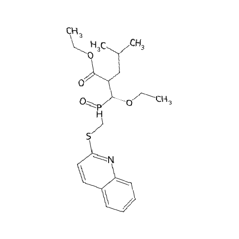 CCOC(=O)C(CC(C)C)C(OCC)[PH](=O)CSc1ccc2ccccc2n1